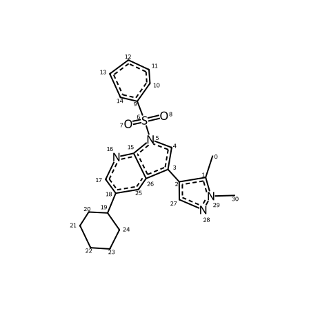 Cc1c(-c2cn(S(=O)(=O)c3ccccc3)c3ncc(C4CCCCC4)cc23)cnn1C